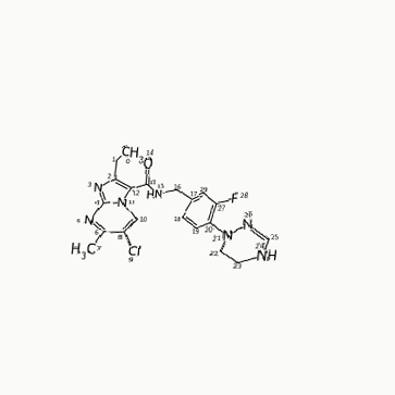 CCc1nc2nc(C)c(Cl)cn2c1C(=O)NCc1ccc(N2CCNC=N2)c(F)c1